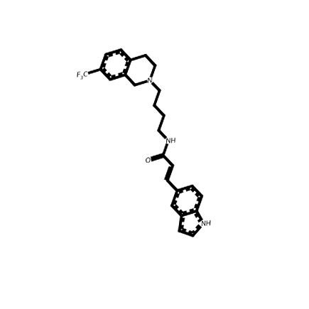 O=C(C=Cc1ccc2[nH]ccc2c1)NCCCCN1CCc2ccc(C(F)(F)F)cc2C1